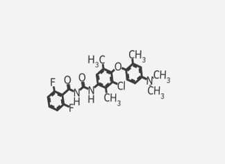 Cc1cc(N(C)C)ccc1Oc1c(C)cc(NC(=O)NC(=O)c2c(F)cccc2F)c(C)c1Cl